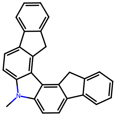 Cn1c2ccc3c(c2c2c4c(ccc21)-c1ccccc1C4)Cc1ccccc1-3